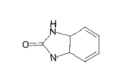 O=C1[N]C2C=CC=CC2N1